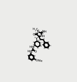 COc1cccc(NC(=O)N[C@@H]2CCC[C@H](C[C@@]3(CCc4ccccc4)NC(=N)N(C)C3=O)C2)c1